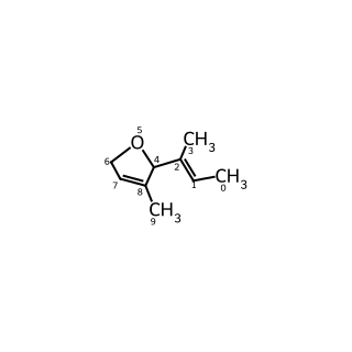 CC=C(C)C1OCC=C1C